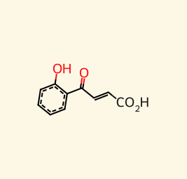 O=C(O)/C=C/C(=O)c1ccccc1O